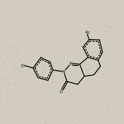 CC(=O)c1ccc2c(c1)C1=NN(c3ccc(Cl)cc3)C(=O)CC1CC2